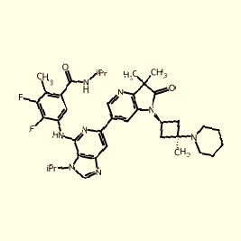 Cc1c(C(=O)NC(C)C)cc(Nc2nc(-c3cnc4c(c3)N([C@H]3C[C@@](C)(N5CCCCC5)C3)C(=O)C4(C)C)cc3ncn(C(C)C)c23)c(F)c1F